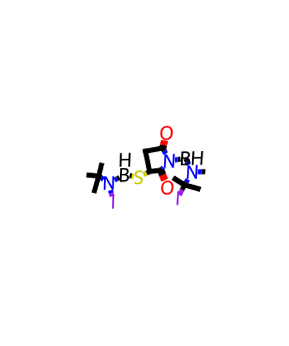 CN(BN1C(=O)CC(SBN(I)C(C)(C)C)C1=O)C(C)(C)I